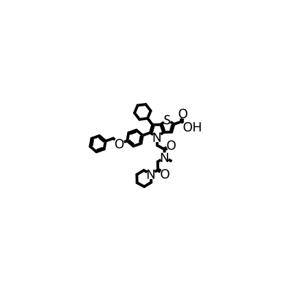 CN(CC(=O)N1CCCCC1)C(=O)Cn1c(-c2ccc(OCc3ccccc3)cc2)c(C2CCCCC2)c2sc(C(=O)O)cc21